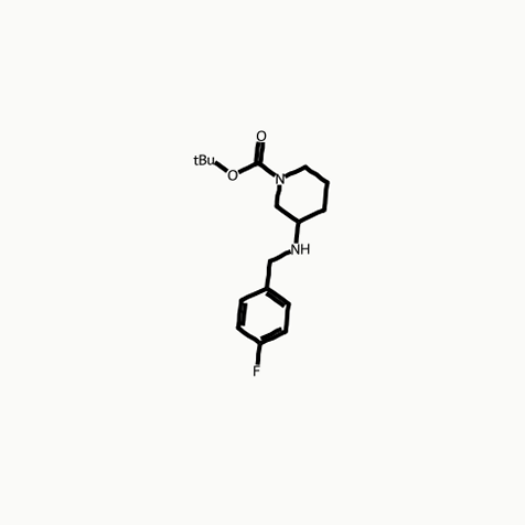 CC(C)(C)OC(=O)N1CCCC(NCc2ccc(F)cc2)C1